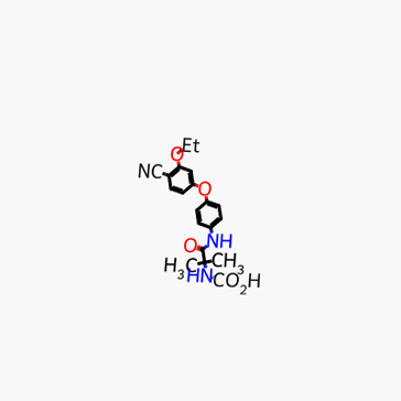 CCOc1cc(Oc2ccc(NC(=O)C(C)(C)NC(=O)O)cc2)ccc1C#N